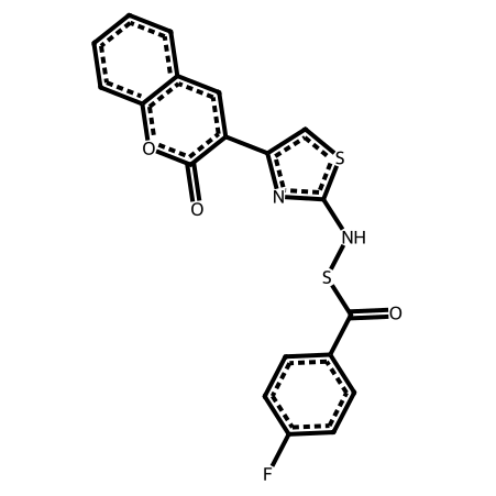 O=C(SNc1nc(-c2cc3ccccc3oc2=O)cs1)c1ccc(F)cc1